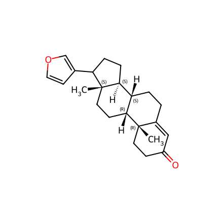 C[C@]12CCC(=O)C=C1CC[C@@H]1[C@H]2CC[C@]2(C)C(c3ccoc3)CC[C@@H]12